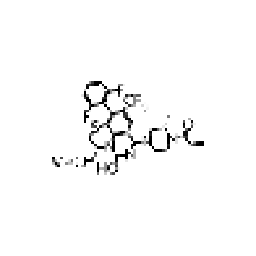 C=CC(=O)N1[C@H](C)CN(C2=NC(O)N3c4c2cc(C(F)(F)F)c(-c2c(F)cccc2F)c4SC[C@@H]3COC)C[C@@H]1C